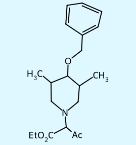 CCOC(=O)C(C(C)=O)N1CC(C)C(OCc2ccccc2)C(C)C1